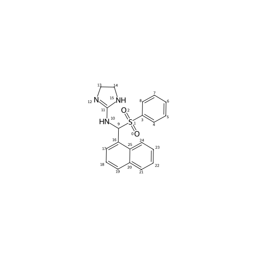 O=S(=O)(c1ccccc1)C(NC1=NCCN1)c1cccc2ccccc12